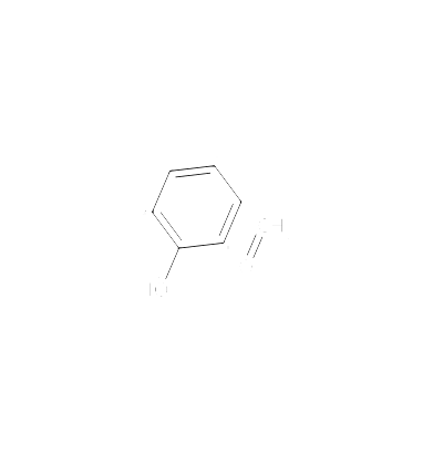 C=O.Oc1ccccc1